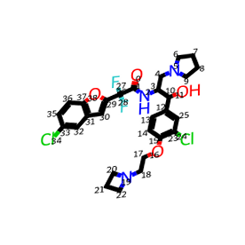 O=C(NC(CN1CCCC1)C(O)c1ccc(OCCN2CCC2)c(Cl)c1)C(F)(F)c1cc2cc(Cl)ccc2o1